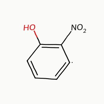 O=[N+]([O-])c1[c]cccc1O